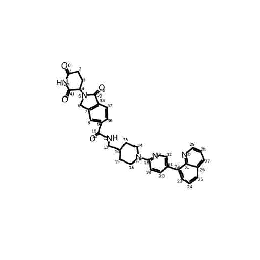 O=C1CCC(N2Cc3cc(C(=O)NCC4CCN(c5ccc(-c6cccc7cccnc67)cn5)CC4)ccc3C2=O)C(=O)N1